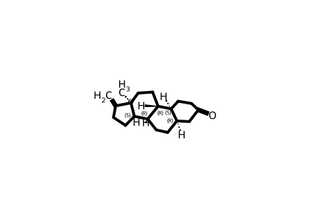 C=C1CC[C@H]2[C@@H]3CC[C@@H]4CC(=O)CC[C@@H]4[C@H]3CC[C@]12C